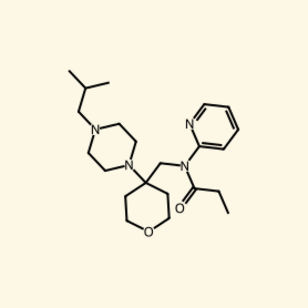 CCC(=O)N(CC1(N2CCN(CC(C)C)CC2)CCOCC1)c1ccccn1